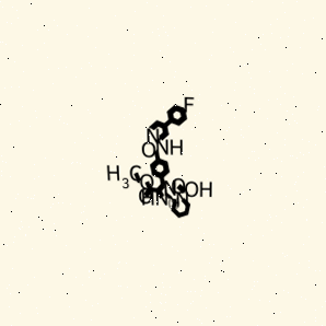 CCOC(=O)c1[nH]c([C@@H]2CCCCN2C(=O)O)nc1-c1ccc(C(=O)Nc2cc(-c3ccc(F)cc3)ccn2)cc1